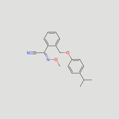 CO/N=C(/C#N)c1ccccc1COc1ccc(C(C)C)cc1